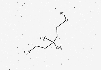 CC(C)OCCC(C)(C)CCN